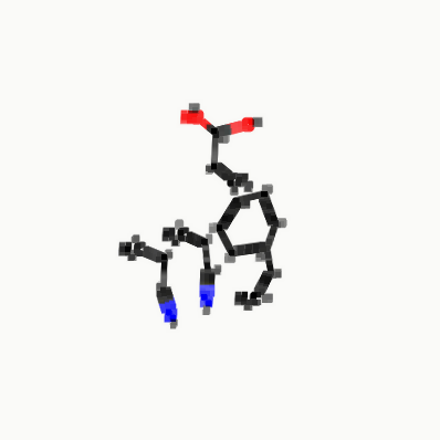 C=CC#N.C=CC#N.C=CC(=O)O.C=Cc1ccccc1